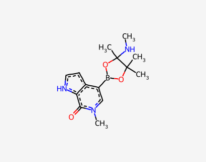 CNC1(C)OB(c2cn(C)c(=O)c3[nH]ccc23)OC1(C)C